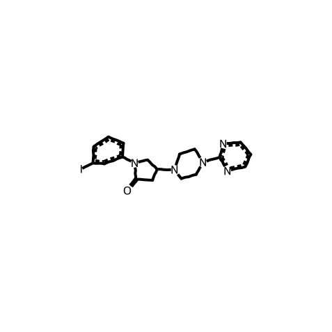 O=C1CC(N2CCN(c3ncccn3)CC2)CN1c1cccc(I)c1